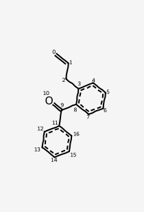 C=CCc1ccccc1C(=O)c1ccccc1